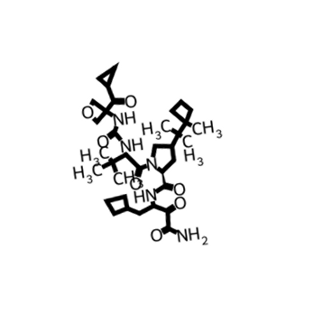 CC(C)(C)[C@H](NC(=O)NC1(C(=O)C2CC2)COC1)C(=O)N1CC(C(C)(C)C2(C)CCC2)C[C@H]1C(=O)NC(CC1CCC1)C(=O)C(N)=O